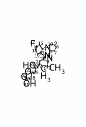 CC(C)c1nn(-c2ccccn2)c(-c2ccc(F)cc2)c1C=CC(O)CC(=O)CC(=O)O